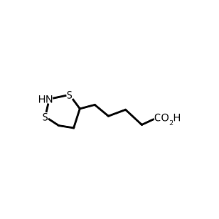 O=C(O)CCCCC1CCSNS1